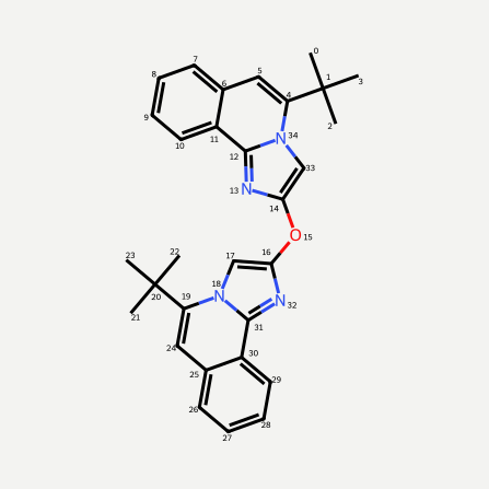 CC(C)(C)c1cc2ccccc2c2nc(Oc3cn4c(C(C)(C)C)cc5ccccc5c4n3)cn12